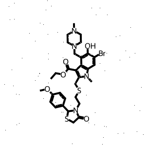 CCOC(=O)c1c(CSCCN2C(=O)CSC2c2ccc(OC)cc2)n(C)c2cc(Br)c(O)c(CN3CCN(C)CC3)c12